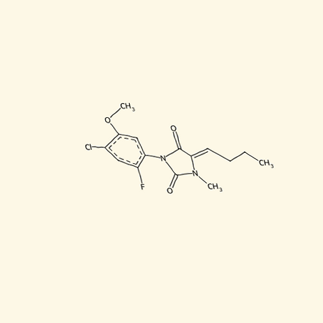 CCCC=C1C(=O)N(c2cc(OC)c(Cl)cc2F)C(=O)N1C